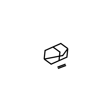 C1C2CC3CC1CC(C2)C3.C=C